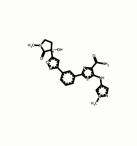 CN1CC[C@@](O)(c2cc(-c3cccc(-c4nc(C(N)=O)c(Nc5cnn(C)c5)s4)c3)no2)C1=O